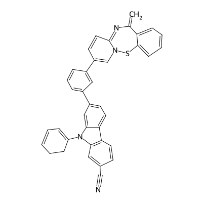 C=C1N=C2C=CC(c3cccc(-c4ccc5c6ccc(C#N)cc6n(C6=CC=CCC6)c5c4)c3)=CN2Sc2ccccc21